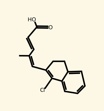 CC(C=CC(=O)O)=CC1=C(Cl)c2ccccc2CC1